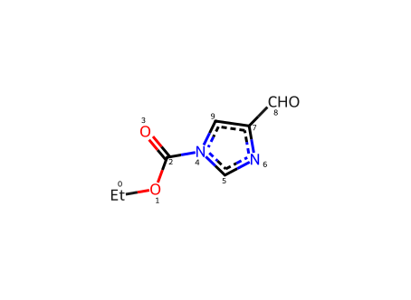 CCOC(=O)n1cnc(C=O)c1